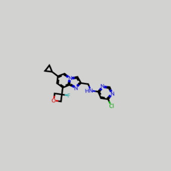 FC1(c2cc(C3CC3)cn3cc(CNc4cc(Cl)ncn4)nc23)COC1